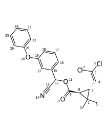 CC1(C)[C@@H](C=C(Cl)Cl)[C@@H]1C(=O)OC(C#N)c1cccc(Oc2ccccc2)c1